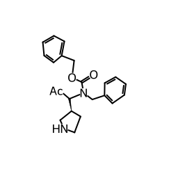 CC(=O)C([C@H]1CCNC1)N(Cc1ccccc1)C(=O)OCc1ccccc1